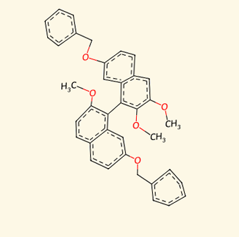 COc1cc2ccc(OCc3ccccc3)cc2c(-c2c(OC)ccc3ccc(OCc4ccccc4)cc23)c1OC